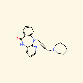 O=C1Nc2cccnc2N(CC#CCN2CCCCCC2)c2ccccc21